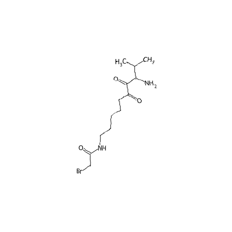 CC(C)[C](N)C(=O)C(=O)CCCCCNC(=O)CBr